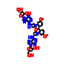 COc1ccc(C(=O)c2ccc(OC)cc2N2CC[C@@H](Nc3ncnc4c3ncn4[C@@H]3O[C@H](CO)C[C@H]3O)C2)c(N2CC[C@@H](Nc3ncnc4c3ncn4[C@@H]3O[C@H](CO)C[C@H]3O)C2)c1